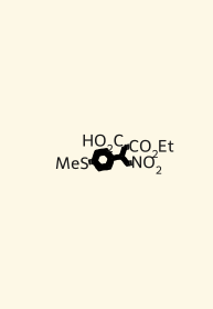 CCOC(=O)C(C(=O)O)C(C[N+](=O)[O-])c1ccc(SC)cc1